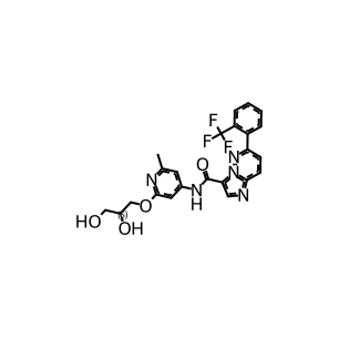 Cc1cc(NC(=O)c2cnc3ccc(-c4ccccc4C(F)(F)F)nn23)cc(OC[C@@H](O)CO)n1